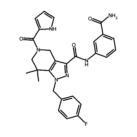 CC1(C)CN(C(=O)c2ccc[nH]2)Cc2c(C(=O)Nc3cccc(C(N)=O)c3)nn(Cc3ccc(F)cc3)c21